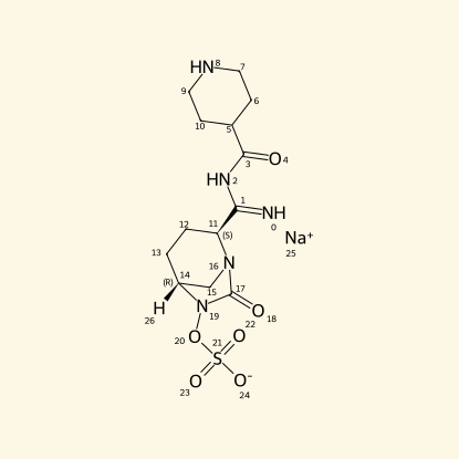 N=C(NC(=O)C1CCNCC1)[C@@H]1CC[C@@H]2CN1C(=O)N2OS(=O)(=O)[O-].[Na+]